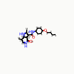 CCCCOC1CCC(NC(=O)c2c(C)[nH]c3c(C)c[nH]c(=O)c23)CC1